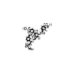 Cn1c(C(=O)NCC(NC(=O)c2ccc(C(=O)O)c(=O)n2OCc2ccccc2)C(=O)NCCOCCNC(=O)OC(C)(C)C)ccc(C(=O)O)c1=O